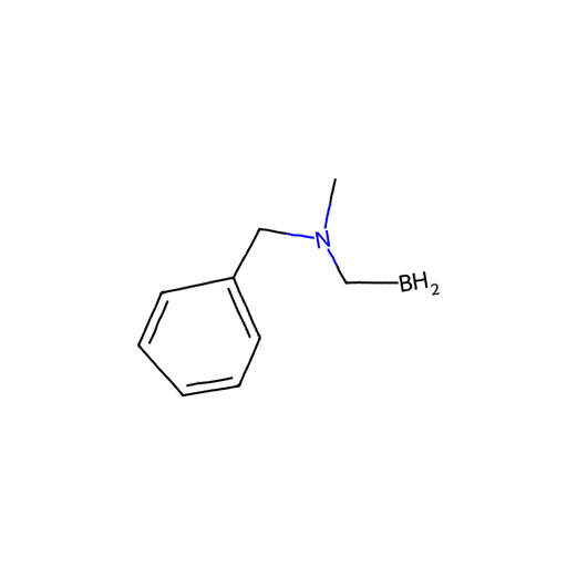 BCN(C)Cc1ccccc1